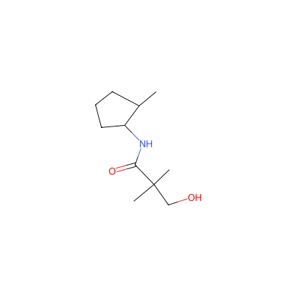 CC1CCCC1NC(=O)C(C)(C)CO